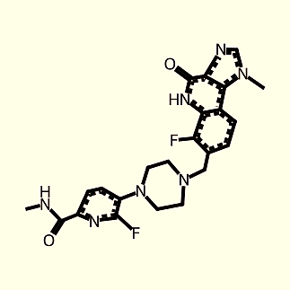 CNC(=O)c1ccc(N2CCN(Cc3ccc4c([nH]c(=O)c5ncn(C)c54)c3F)CC2)c(F)n1